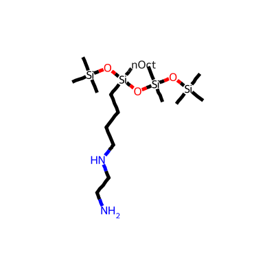 CCCCCCCC[Si](CCCCNCCN)(O[Si](C)(C)C)O[Si](C)(C)O[Si](C)(C)C